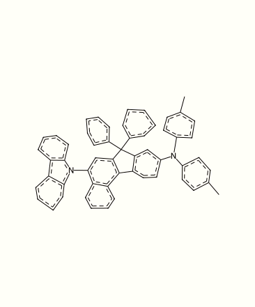 Cc1ccc(N(c2ccc(C)cc2)c2ccc3c(c2)C(c2ccccc2)(c2ccccc2)c2cc(-n4c5ccccc5c5ccccc54)c4ccccc4c2-3)cc1